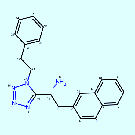 N[C@H](Cc1ccc2ccccc2c1)c1nnnn1CCc1ccccc1